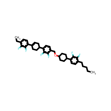 CCCCCc1ccc(C2CCC(OCc3ccc(C4CC=C(c5ccc(CC)c(F)c5F)CC4)c(F)c3F)CC2)c(F)c1F